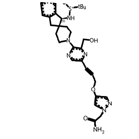 CC(C)(C)[S+]([O-])N[C@@H]1c2ccccc2CC12CCN(c1ncc(C#CCOc3cnn(CC(N)=O)c3)nc1CO)CC2